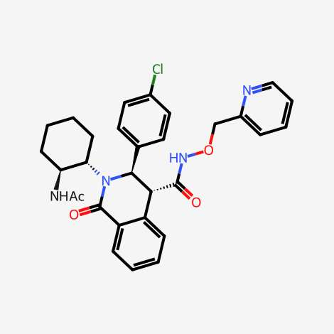 CC(=O)N[C@H]1CCCC[C@@H]1N1C(=O)c2ccccc2[C@@H](C(=O)NOCc2ccccn2)[C@@H]1c1ccc(Cl)cc1